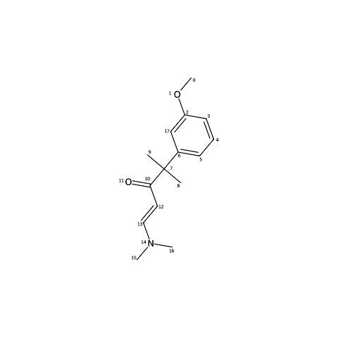 COc1cccc(C(C)(C)C(=O)C=CN(C)C)c1